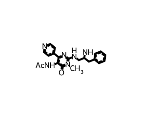 CC(=O)Nc1c(-c2ccncc2)nc(NCC(N)Cc2ccccc2)n(C)c1=O